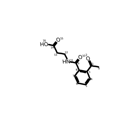 CC(=O)c1[c]cccc1C(=O)NCCC(=O)O